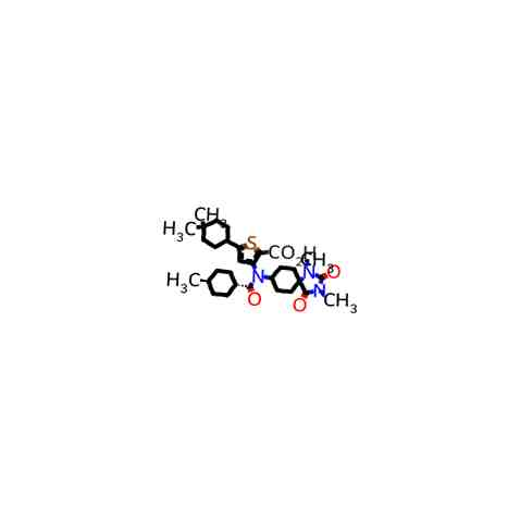 CN1C(=O)N(C)C2(CCC(N(c3cc(C4CCC(C)(C)CC4)sc3C(=O)O)C(=O)[C@H]3CC[C@H](C)CC3)CC2)C1=O